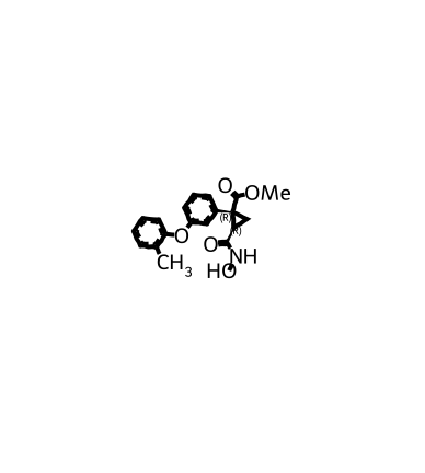 COC(=O)[C@]1(c2cccc(Oc3ccccc3C)c2)C[C@H]1C(=O)NO